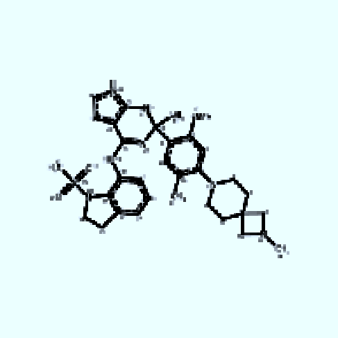 COc1cc(N2CCC3(CC2)CN(C)C3)c(C)cc1C1(N)N=C(Nc2cccc3c2N(S(C)(=O)=O)CC3)c2cc[nH]c2N1